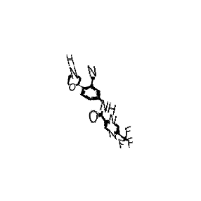 N#Cc1cc(NC(=O)c2cnc(C(F)(F)F)cn2)ccc1[C@@H]1CNCCO1